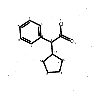 O=C(Cl)C(c1ccccc1)C1CCCC1